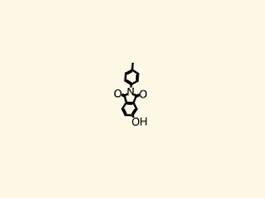 Cc1ccc(N2C(=O)c3ccc(O)cc3C2=O)cc1